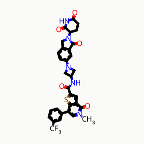 Cn1cc(-c2cccc(C(F)(F)F)c2)c2sc(C(=O)NC3CN(c4ccc5c(c4)C(=O)N(C4CCC(=O)NC4=O)C5)C3)cc2c1=O